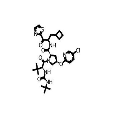 CC(C)(C)NC(=O)N[C@@H](C(=O)N1C[C@H](Oc2ccc(Cl)cn2)C[C@@H]1C(=O)NC(CC1CCC1)C(=O)c1nccs1)C(C)(C)C